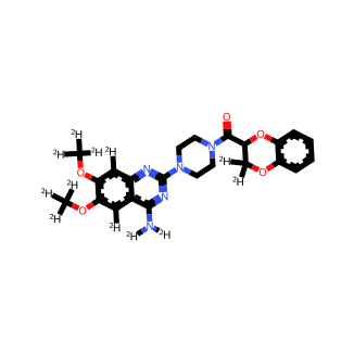 [2H]c1c(OC([2H])([2H])[2H])c(OC([2H])([2H])[2H])c([2H])c2c(N([2H])[2H])nc(N3CCN(C(=O)C4Oc5ccccc5OC4([2H])[2H])CC3)nc12